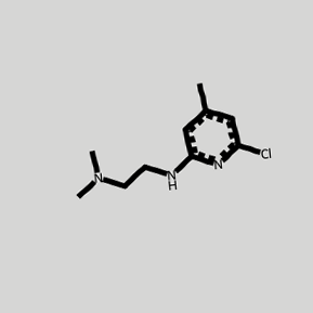 Cc1cc(Cl)nc(NCCN(C)C)c1